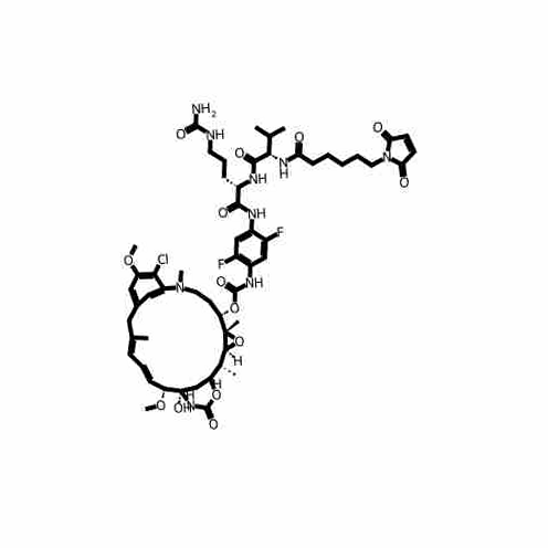 COc1cc2cc(c1Cl)N(C)CC[C@H](OC(=O)Nc1cc(F)c(NC(=O)[C@H](CCCNC(N)=O)NC(=O)[C@@H](NC(=O)CCCCCN3C(=O)C=CC3=O)C(C)C)cc1F)[C@]1(C)O[C@H]1[C@H](C)[C@@H]1C[C@@](O)(NC(=O)O1)[C@H](OC)/C=C/C=C(\C)C2